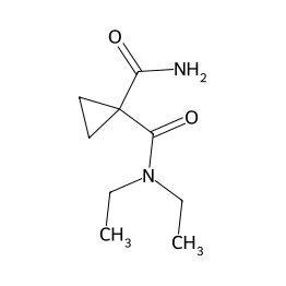 CCN(CC)C(=O)C1(C(N)=O)CC1